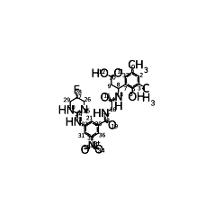 Cc1cc(C)c(O)c(C(CC(=O)O)NC(=O)CNC(=O)c2cc(NC3=NCC(F)CN3)cc([N+](=O)[O-])c2)c1